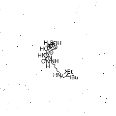 B[PH]1(O)OCC2OC(N3CNc4c3nc(NCCCCCCNC(C)(CCC(=C)CC)CC3CC3C(C)CC)[nH]c4=O)C(O)[C@@H]2O1